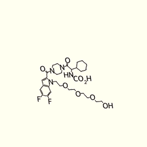 O=C(O)NC(C(=O)N1CCN(C(=O)c2cc3cc(F)c(F)cc3n2CCOCCOCCOCCO)CC1)C1CCCCC1